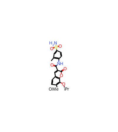 COc1ccc2cc(C(=O)Nc3ccc(S(N)(=O)=O)cc3C)c(=O)oc2c1OC(C)C